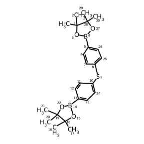 CC1(C)OB(c2ccc(Sc3ccc(B4OC(C)(C)C(C)(C)O4)cc3)cc2)OC1(C)C